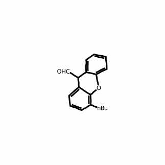 CCCCc1cccc2c1Oc1ccccc1C2C=O